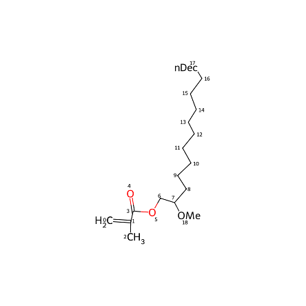 C=C(C)C(=O)OCC(CCCCCCCCCCCCCCCCCCC)OC